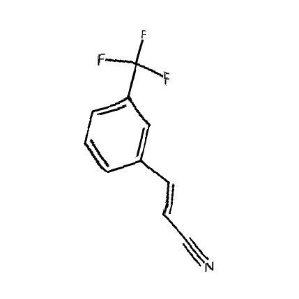 N#CC=Cc1cccc(C(F)(F)F)c1